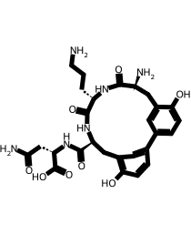 NCCC[C@@H]1NC(=O)[C@@H](N)Cc2cc(ccc2O)-c2ccc(O)c(c2)C[C@@H](C(=O)N[C@@H](CC(N)=O)C(=O)O)NC1=O